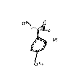 Cc1ccc(S(=O)(=O)[O][Os])cc1.[Ag]